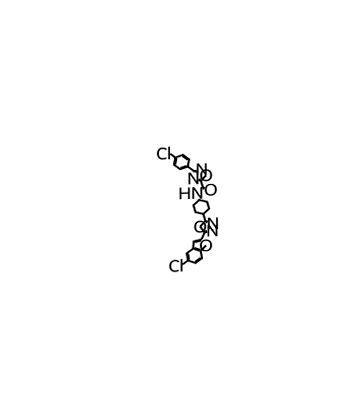 O=C(NC1CCC(c2nnc(-c3cc4cc(Cl)ccc4o3)o2)CC1)c1nc(-c2ccc(Cl)cc2)no1